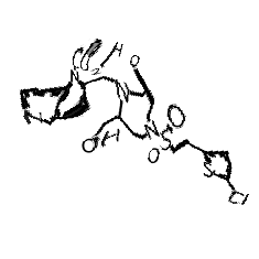 O=C1CN(S(=O)(=O)C=Cc2ccc(Cl)s2)CC(CO)N1Cc1cc2cnccc2n1C(=O)O